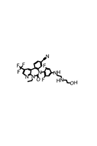 CCN1C(=O)N(c2c(F)cc(NCCNCCO)cc2F)c2cc(C#N)ccc2-c2cc(C(F)(F)F)cnc21